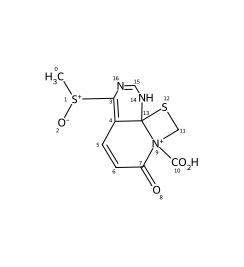 C[S+]([O-])C1=C2C=CC(=O)[N+]3(C(=O)O)CSC23NC=N1